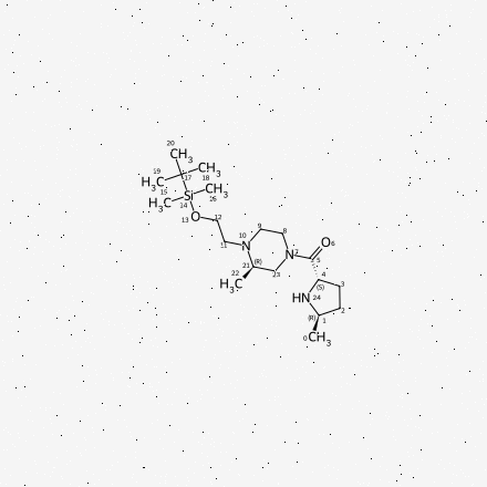 C[C@@H]1CC[C@@H](C(=O)N2CCN(CCO[Si](C)(C)C(C)(C)C)[C@H](C)C2)N1